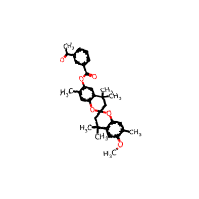 COc1cc2c(cc1C)OC1(CC2(C)C)CC(C)(C)c2cc(OC(=O)c3cccc(C(C)=O)c3)c(C)cc2O1